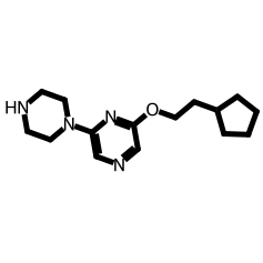 c1ncc(N2CCNCC2)nc1OCCC1CCCC1